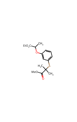 CCOC(=O)C(C)Oc1cccc(SC(C)(C)C(=O)OC)c1